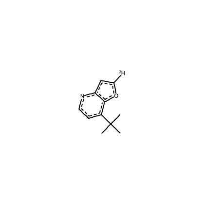 [2H]c1cc2nccc(C(C)(C)C)c2o1